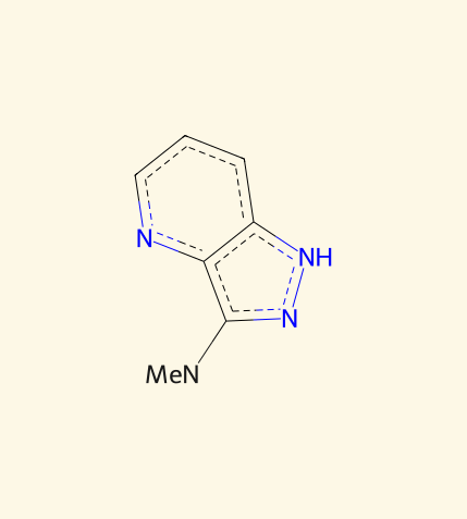 CNc1n[nH]c2cccnc12